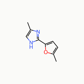 Cc1c[nH]c(-c2ccc(C)o2)n1